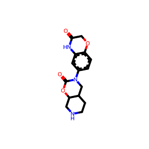 O=C1COc2ccc(N3CC4CCNCC4OC3=O)cc2N1